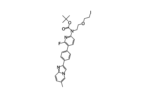 Cc1ccc2nc(-c3ccc(-c4ccc(N(CCOCCI)C(=O)OC(C)(C)C)nc4F)cc3)cn2c1